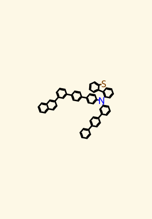 c1ccc(-c2ccc(-c3cccc(N(c4ccc(-c5ccc(-c6cccc(-c7ccc8ccccc8c7)c6)cc5)cc4)c4cccc5sc6ccccc6c45)c3)cc2)cc1